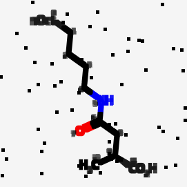 CCCCCCCCCCCCNC(=O)C[C@H](C)C(=O)O